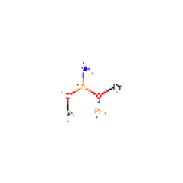 CC(C)OP(N)OC(C)C.P